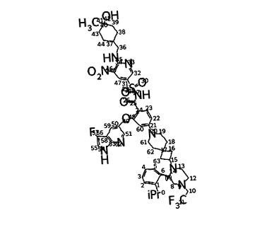 CC(C)c1ccccc1[C@@H]1CN(CC(F)(F)F)CCN1C1CC2(CCN(c3ccc(C(=O)NS(=O)(=O)c4cnc(NCC5CCC(C)(O)CC5)c([N+](=O)[O-])c4)c(Oc4cnc5[nH]cc(F)c5c4)c3)CC2)C1